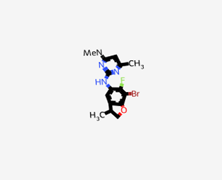 CNc1cc(C)nc(Nc2cc3c(c(Br)c2F)OCC3C)n1